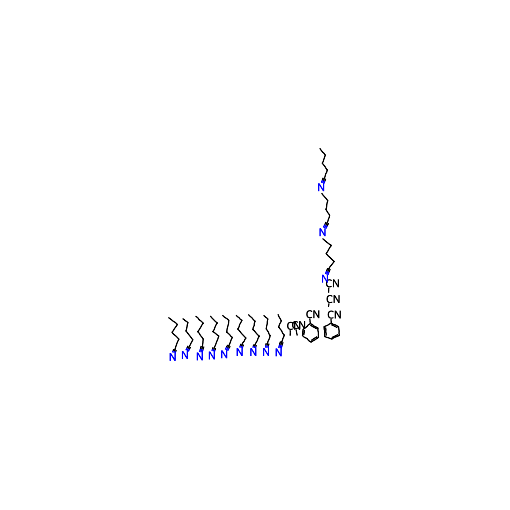 CC#N.CC#N.CC#N.CC#N.CCCCC#N.CCCCC#N.CCCCC#N.CCCCC#N.CCCCC#N.CCCCC#N.CCCCC#N.CCCCC#N.CCCCC#N.CCCCC#N.CCCCC#N.CCCCC#N.N#Cc1ccccc1.N#Cc1ccccc1